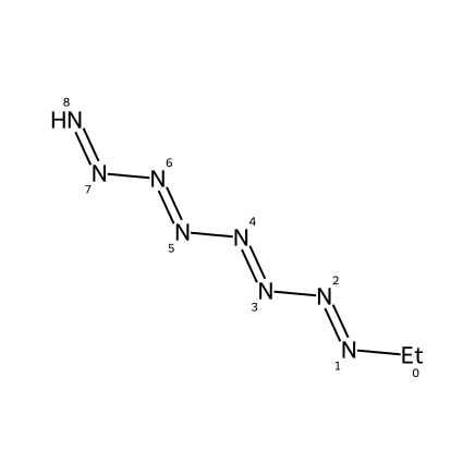 CCN=NN=NN=NN=N